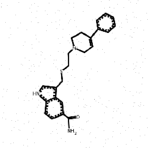 NC(=O)c1ccc2[nH]cc(CSCCN3CC=C(c4ccccc4)CC3)c2c1